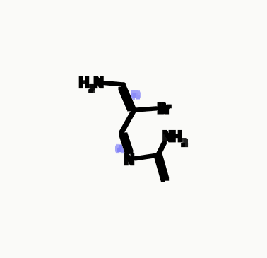 C=C(N)/N=C\C(Br)=C/N